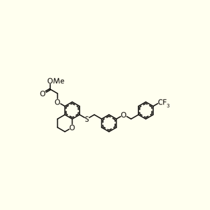 COC(=O)COc1ccc(SCc2cccc(OCc3ccc(C(F)(F)F)cc3)c2)c2c1CCCO2